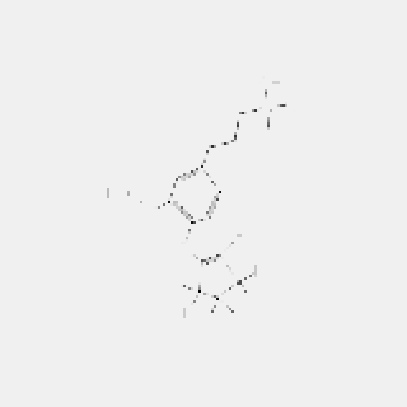 COc1cc(CCCS(C)(C)Cl)ccc1OC1=C(F)C(F)(F)C(F)(F)C1(F)F